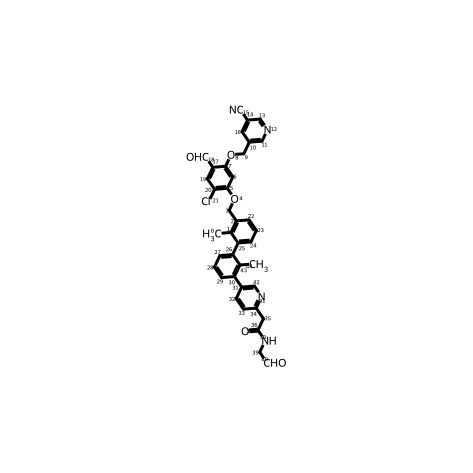 Cc1c(COc2cc(OCc3cncc(C#N)c3)c(C=O)cc2Cl)cccc1-c1cccc(-c2ccc(CC(=O)NCC=O)nc2)c1C